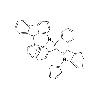 c1ccc(-n2c3ccccc3c3cccc(-n4c5ccccc5c5c4c4ccccc4c4c6ccccc6n(-c6ccccc6)c45)c32)cc1